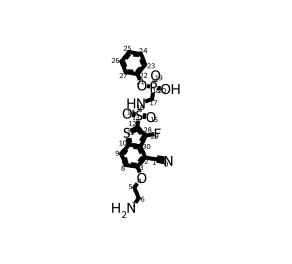 N#Cc1c(OCCN)ccc2sc(S(=O)(=O)NCP(=O)(O)Oc3ccccc3)c(F)c12